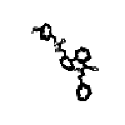 O=C(NCc1ccccc1-c1ccccc1C(=O)NCCc1ccccc1)OCc1ccc(F)cc1